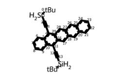 CC(C)(C)[SiH2]C#Cc1c2ccccc2c(C#C[SiH2]C(C)(C)C)c2cc3cc4ccccc4cc3cc12